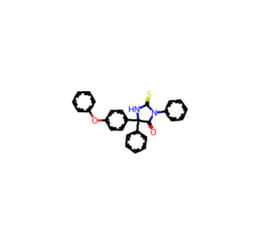 O=C1N(c2ccccc2)C(=S)NC1(c1ccccc1)c1ccc(Oc2ccccc2)cc1